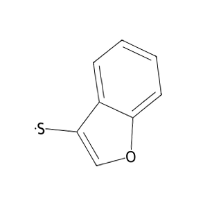 [S]c1coc2ccccc12